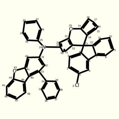 Clc1ccc2c(c1)-c1ccccc1C21c2ccccc2Oc2cc(N(c3ccccc3)c3cc(-c4ccccc4)c4c(c3)oc3ccccc34)ccc21